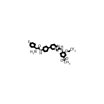 CS(=O)(=O)c1ccc(Nc2nc3ccc(-c4ccc(NC(=O)[C@H](N)c5ccc(F)cc5)cc4)cn3n2)c(OCC(F)(F)F)c1